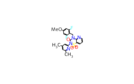 COc1cc(F)c(CN2C(=O)N(c3cc(C)cc(C)n3)S(=O)(=O)c3cccnc32)c(F)c1